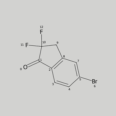 O=C1c2ccc(Br)cc2CC1(F)F